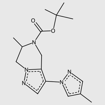 Cc1cnn(-c2cnn3c2CN(C(=O)OC(C)(C)C)C(C)C3)c1